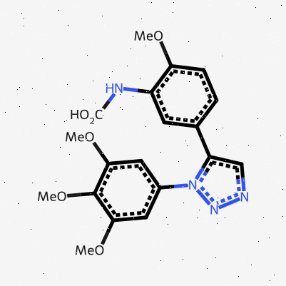 COc1ccc(-c2cnnn2-c2cc(OC)c(OC)c(OC)c2)cc1NC(=O)O